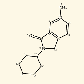 Nc1ccc2c(c1)C(=O)N(C1CCCCC1)C2